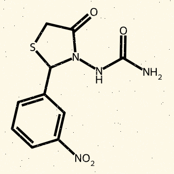 NC(=O)NN1C(=O)CSC1c1cccc([N+](=O)[O-])c1